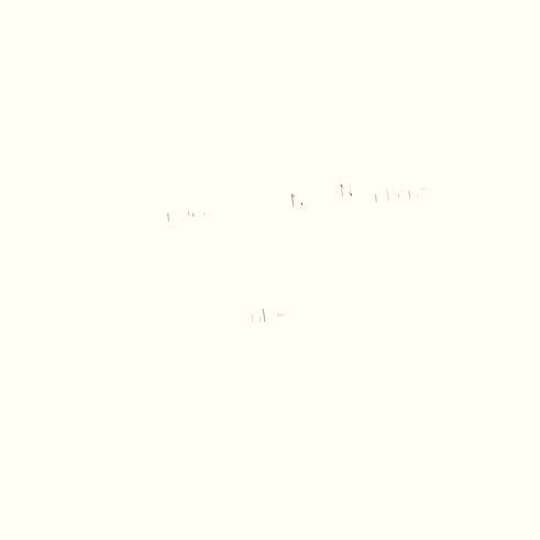 CCCCCCCCCCCCCc1n(CCCCC)cc[n+]1CCCCCCCCCCCC